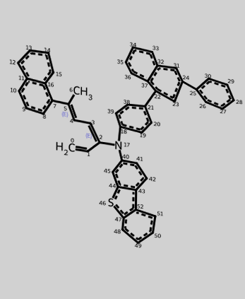 C=C/C(=C\C=C(/C)c1cccc2ccccc12)N(c1ccc(-c2cc(-c3ccccc3)cc3ccccc23)cc1)c1ccc2c(c1)sc1ccccc12